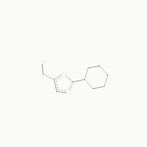 OCc1csc(C2CCCCC2)n1